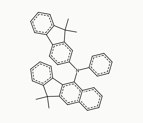 CC1(C)c2ccccc2-c2ccc(N(c3ccccc3)c3c4c(cc5ccccc35)C(C)(C)c3ccccc3-4)cc21